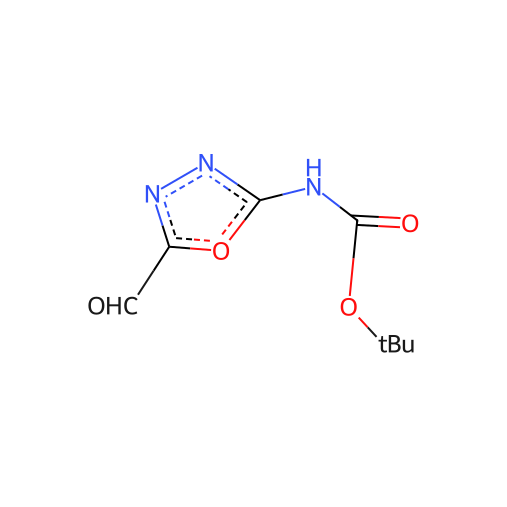 CC(C)(C)OC(=O)Nc1nnc(C=O)o1